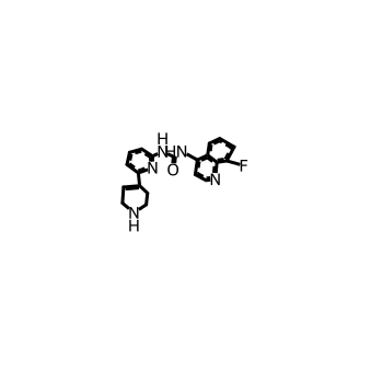 O=C(Nc1cccc(C2=CCNCC2)n1)Nc1ccnc2c(F)cccc12